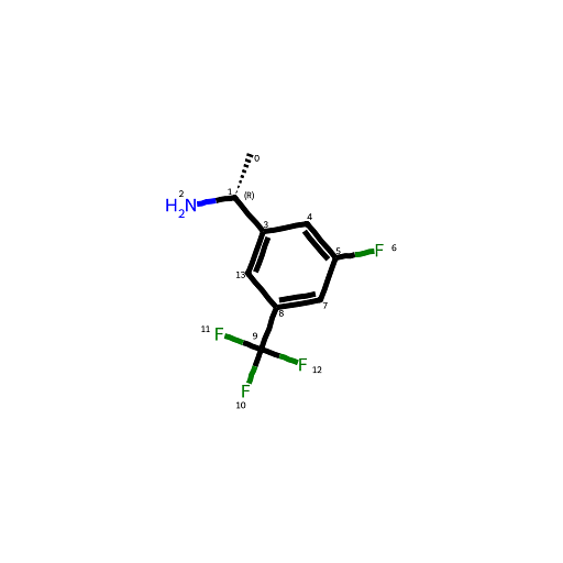 C[C@@H](N)c1cc(F)cc(C(F)(F)F)c1